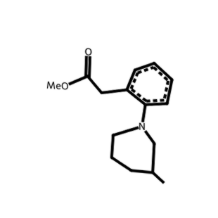 COC(=O)Cc1ccccc1N1CCCC(C)C1